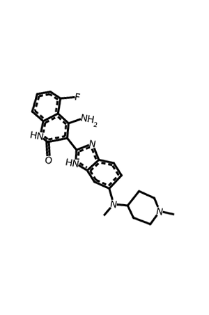 CN1CCC(N(C)c2ccc3nc(-c4c(N)c5c(F)cccc5[nH]c4=O)[nH]c3c2)CC1